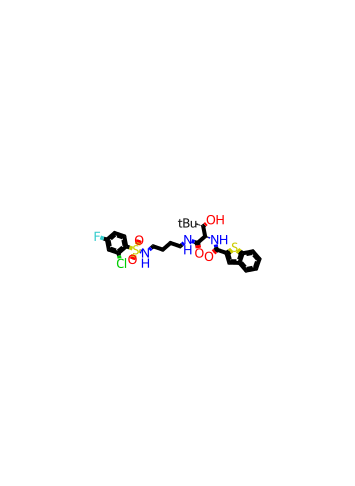 CC(C)(C)[C@H](O)[C@H](NC(=O)c1cc2ccccc2s1)C(=O)NCCCCNS(=O)(=O)c1ccc(F)cc1Cl